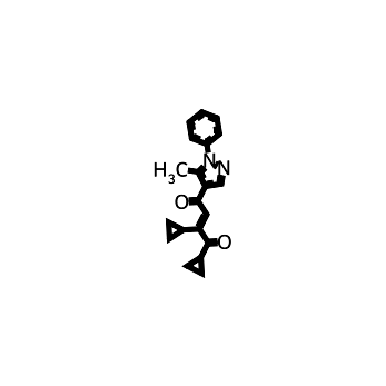 Cc1c(C(=O)/C=C(/C(=O)C2CC2)C2CC2)cnn1-c1ccccc1